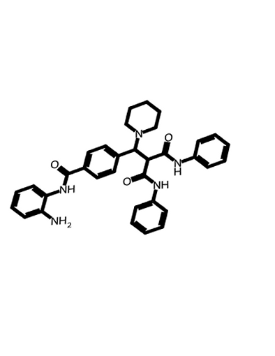 Nc1ccccc1NC(=O)c1ccc(C(C(C(=O)Nc2ccccc2)C(=O)Nc2ccccc2)N2CCCCC2)cc1